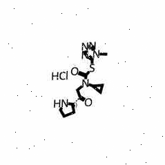 Cl.Cn1nnnc1SC(=O)N(CC(=O)[C@@H]1CCCN1)C1CC1